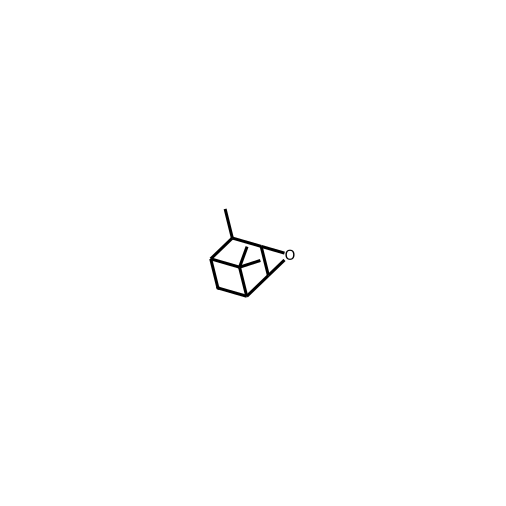 CC1C2OC2C2CC1C2(C)C